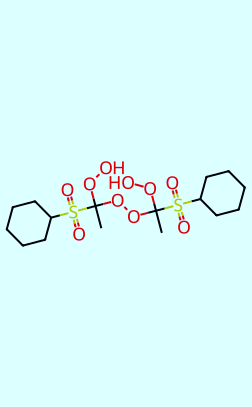 CC(OO)(OOC(C)(OO)S(=O)(=O)C1CCCCC1)S(=O)(=O)C1CCCCC1